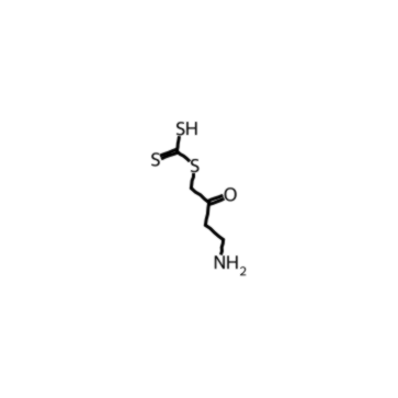 NCCC(=O)CSC(=S)S